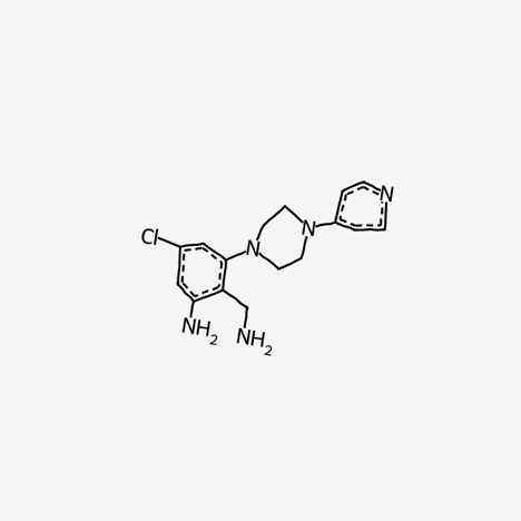 NCc1c(N)cc(Cl)cc1N1CCN(c2ccncc2)CC1